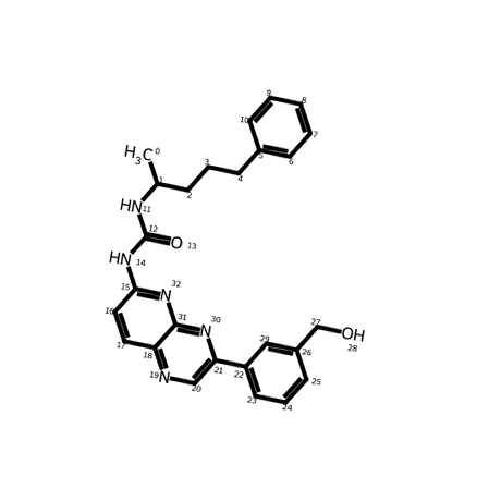 CC(CCCc1ccccc1)NC(=O)Nc1ccc2ncc(-c3cccc(CO)c3)nc2n1